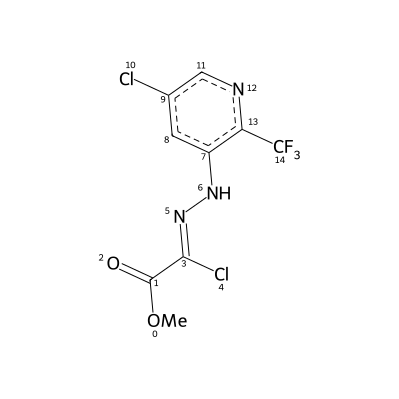 COC(=O)C(Cl)=NNc1cc(Cl)cnc1C(F)(F)F